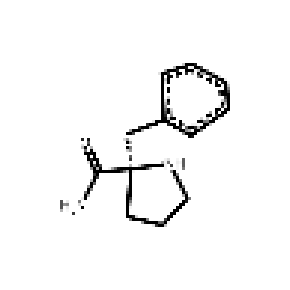 NC(=O)[C@]1(Cc2ccccc2)CCCN1